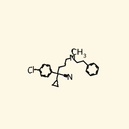 CN(CCCC(C#N)(c1ccc(Cl)cc1)C1CC1)CCc1ccccc1